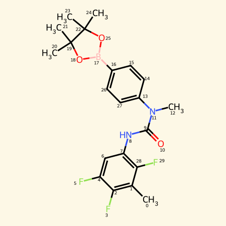 Cc1c(F)c(F)cc(NC(=O)N(C)c2ccc(B3OC(C)(C)C(C)(C)O3)cc2)c1F